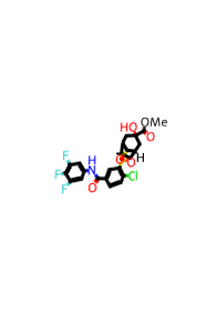 COC(=O)C1(O)CC2C(S(=O)(=O)c3cc(C(=O)Nc4cc(F)c(F)c(F)c4)ccc3Cl)[C@@H](C[C@H]2C)C1